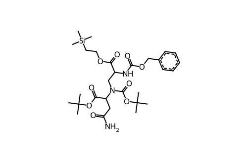 CC(C)(C)OC(=O)C(CC(N)=O)N(CC(NC(=O)OCc1ccccc1)C(=O)OCC[Si](C)(C)C)C(=O)OC(C)(C)C